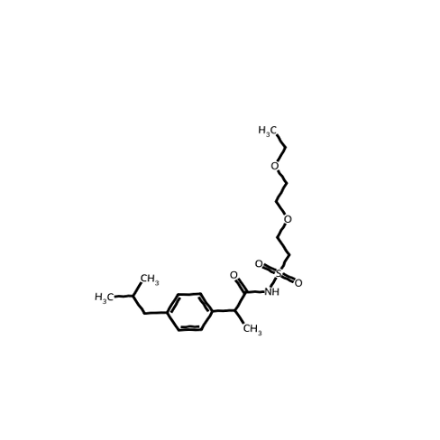 CCOCCOCCS(=O)(=O)NC(=O)C(C)c1ccc(CC(C)C)cc1